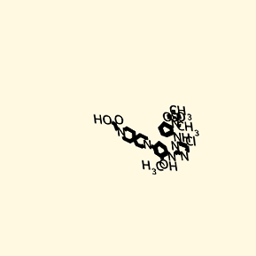 COc1cc(N2CCC3(CCN(CC(=O)O)CC3)CC2)ccc1Nc1ncc(Cl)c(Nc2ccccc2N(C)S(C)(=O)=O)n1